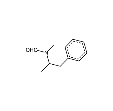 CC(Cc1ccccc1)N(C)C=O